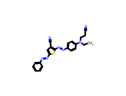 CCN(CCC#N)c1ccc(N=Nc2sc(N=Nc3ccccc3)cc2C#N)cc1